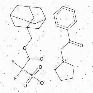 O=C(C[S+]1CCCC1)c1ccccc1.O=C(OCC12CC3CC(CC(C3)C1)C2)C(F)(F)S(=O)(=O)[O-]